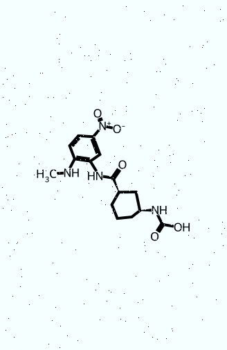 CNc1ccc([N+](=O)[O-])cc1NC(=O)[C@@H]1CCC[C@H](NC(=O)O)C1